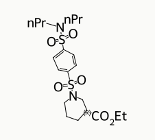 CCCN(CCC)S(=O)(=O)c1ccc(S(=O)(=O)N2CCC[C@@H](C(=O)OCC)C2)cc1